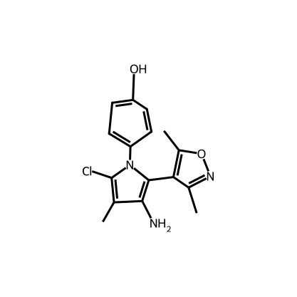 Cc1noc(C)c1-c1c(N)c(C)c(Cl)n1-c1ccc(O)cc1